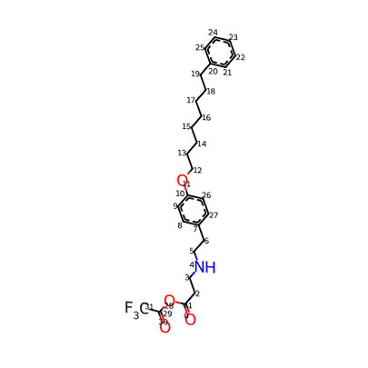 O=C(CCNCCc1ccc(OCCCCCCCCc2ccccc2)cc1)OC(=O)C(F)(F)F